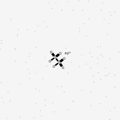 O=S(=O)([O-])S(=O)(=O)[O-].[Pd+2]